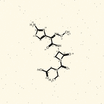 CCN(CC(=O)O)C(=O)N1C[C@H](NC(=O)C(=NOC)c2csc(N)n2)C1=O